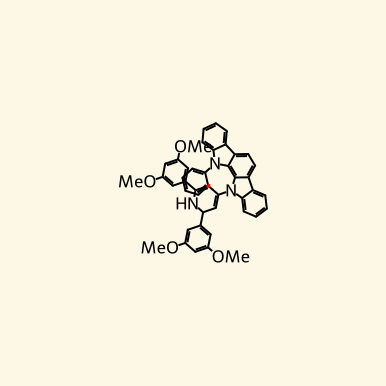 COc1cc(OC)cc(C2=CC(n3c4ccccc4c4ccc5c6ccccc6n(-c6ccccc6)c5c43)=CC(c3cc(OC)cc(OC)c3)N2)c1